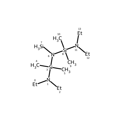 CCN(CC)[Si](C)(C)N([SiH3])[Si](C)(C)N(CC)CC